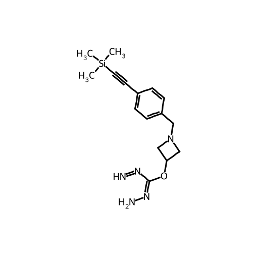 C[Si](C)(C)C#Cc1ccc(CN2CC(OC(N=N)=NN)C2)cc1